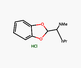 CCCC(NC)C1Oc2ccccc2O1.Cl